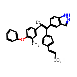 CC/C(=C(/c1ccc(/C=C/C(=O)O)cc1)c1ccc2[nH]ncc2c1)c1ccc(Oc2ccccc2)c(C)c1